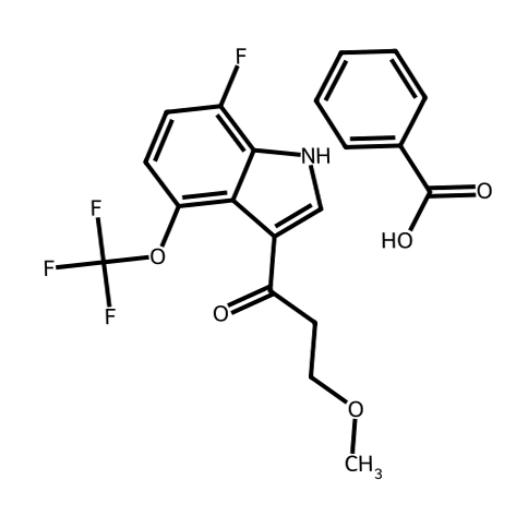 COCCC(=O)c1c[nH]c2c(F)ccc(OC(F)(F)F)c12.O=C(O)c1ccccc1